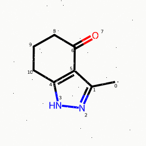 [CH2]c1n[nH]c2c1C(=O)CCC2